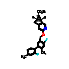 CCOC(=O)[C@H]1[C@@H]2Cc3cc(OCc4cc(-c5ccc(C)cc5F)c(C)cc4F)ncc3[C@@H]21